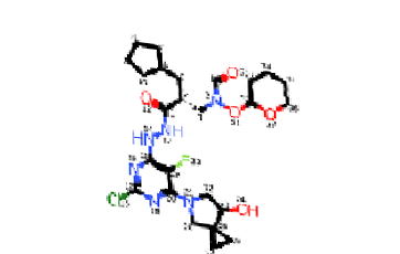 O=CN(C[C@@H](CC1CCCC1)C(=O)NNc1nc(Cl)nc(N2CC(O)C3(CC3)C2)c1F)OC1CCCCO1